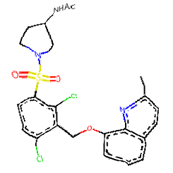 CC(=O)NC1CCN(S(=O)(=O)c2ccc(Cl)c(COc3cccc4ccc(C)nc34)c2Cl)C1